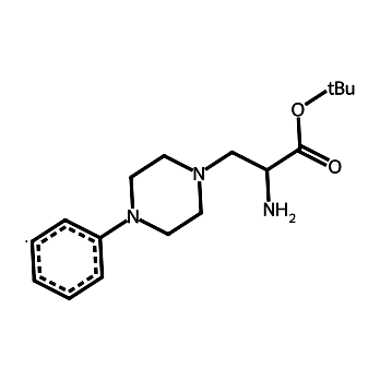 CC(C)(C)OC(=O)C(N)CN1CCN(c2c[c]ccc2)CC1